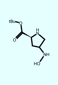 CC(C)(C)OC(=O)[C@@H]1CC(NO)CN1